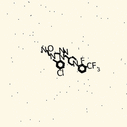 CN(C)C(=O)CN1Cc2cc(Cl)ccc2-n2c(nnc2C2CCN(c3cccc(C(F)(F)F)c3F)CC2)C1